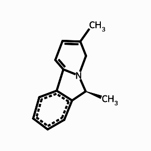 CC1=CC=C2c3ccccc3[C@H](C)N2C1